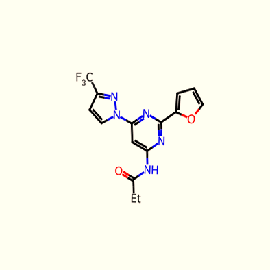 CCC(=O)Nc1cc(-n2ccc(C(F)(F)F)n2)nc(-c2ccco2)n1